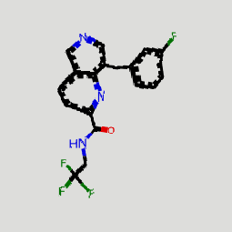 O=C(NCC(F)(F)F)c1ccc2cncc(-c3cccc(F)c3)c2n1